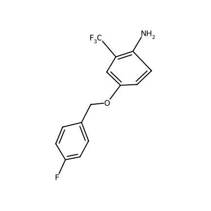 Nc1ccc(OCc2ccc(F)cc2)cc1C(F)(F)F